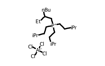 CCCCC(CC)C[P+](CCC(C)C)(CCC(C)C)CCC(C)C.[Cl][Al-]([Cl])([Cl])[Cl]